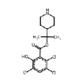 CC(C)(OC(=O)c1c(O)c(Cl)cc(Cl)c1Cl)C1CCNCC1